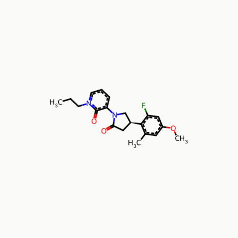 CCCn1cccc(N2C[C@@H](c3c(C)cc(OC)cc3F)CC2=O)c1=O